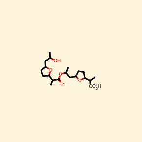 CC(O)CC1CCC(C(C)C(=O)OC(C)CC2CCC(C(C)C(=O)O)O2)O1